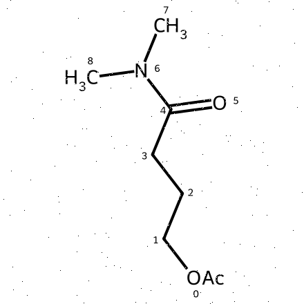 CC(=O)OCCCC(=O)N(C)C